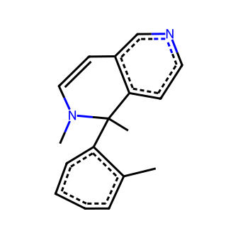 Cc1ccccc1C1(C)c2ccncc2C=CN1C